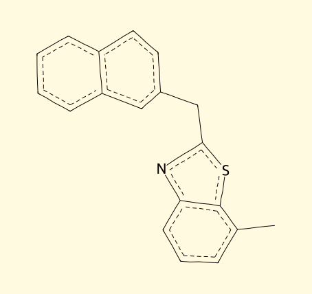 Cc1cccc2nc(Cc3ccc4ccccc4c3)sc12